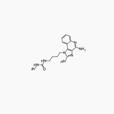 CCCc1nc2c(N)nc3ccccc3c2n1CCCCNC(=O)NC(C)C